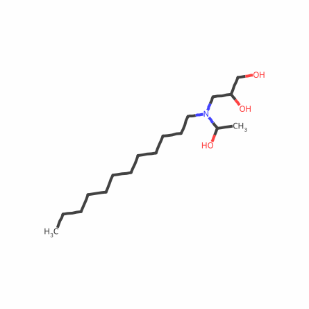 CCCCCCCCCCCCN(CC(O)CO)C(C)O